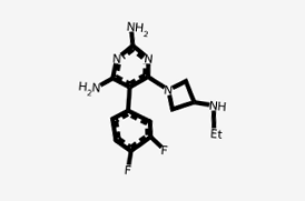 CCNC1CN(c2nc(N)nc(N)c2-c2ccc(F)c(F)c2)C1